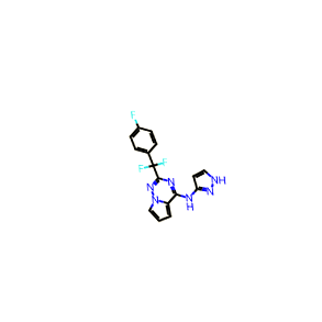 Fc1ccc(C(F)(F)c2nc(Nc3cc[nH]n3)c3cccn3n2)cc1